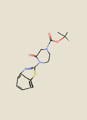 CC(C)(C)OC(=O)N1CCN(c2nc3ccccc3s2)C(=O)C1